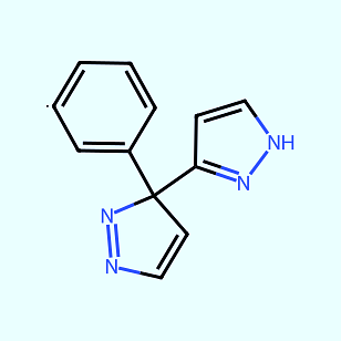 [c]1cccc(C2(c3cc[nH]n3)C=CN=N2)c1